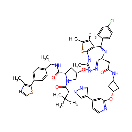 Cc1ncsc1-c1ccc([C@H](C)NC(=O)[C@@H]2C[C@@H](O)CN2C(=O)[C@@H](n2cc(-c3ccnc(O[C@H]4C[C@@H](NC(=O)C[C@@H]5N=C(c6ccc(Cl)cc6)c6c(sc(C)c6C)-n6c(C)nnc65)C4)c3)cn2)C(C)(C)C)cc1